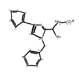 CC(C)(C)C(NC(=O)O)c1nc(-c2ccccc2)cn1Cc1ccccc1